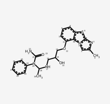 Cc1cn2c(n1)sc1cccc(OCC(O)CNC(C)N(C(N)=O)c3ccccc3)c12